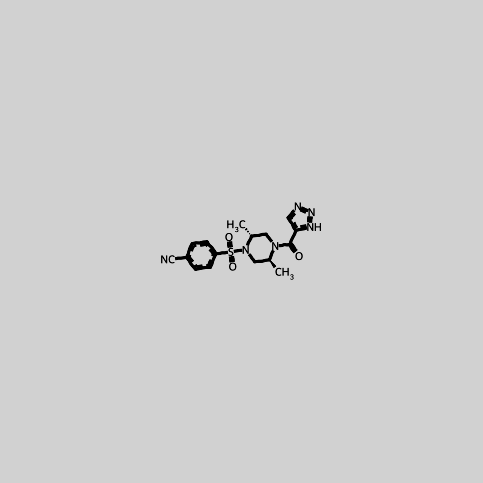 C[C@@H]1CN(C(=O)c2cnn[nH]2)[C@@H](C)CN1S(=O)(=O)c1ccc(C#N)cc1